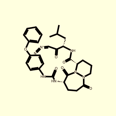 CC(C)C[C@H](NC(=O)[C@@H]1CCCN2C(=O)CC[C@H](NC(=O)Nc3ccc(Oc4ccccc4)cc3)C(=O)N12)C(=O)C=[N+]=[N-]